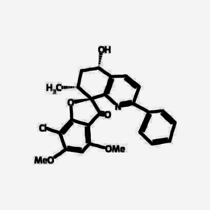 COc1cc(OC)c2c(c1Cl)O[C@]1(C2=O)c2nc(-c3ccccc3)ccc2[C@@H](O)C[C@H]1C